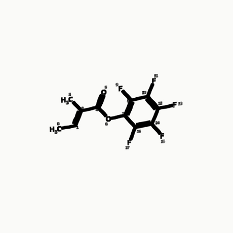 CC=C(C)C(=O)Oc1c(F)c(F)c(F)c(F)c1F